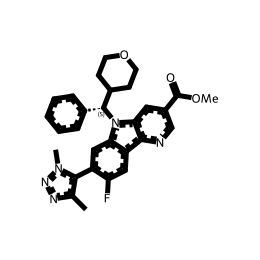 COC(=O)c1cnc2c3cc(F)c(-c4c(C)nnn4C)cc3n([C@H](c3ccccc3)C3CCOCC3)c2c1